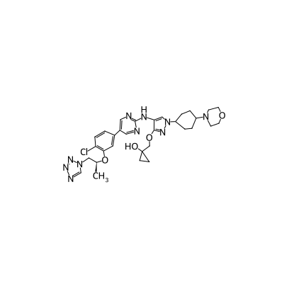 C[C@@H](Cn1cnnn1)Oc1cc(-c2cnc(Nc3cn(C4CCC(N5CCOCC5)CC4)nc3OCC3(O)CC3)nc2)ccc1Cl